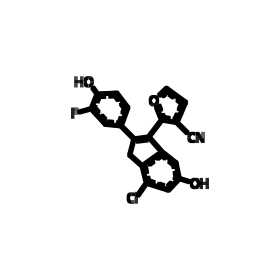 N#Cc1ccoc1C1=C(c2ccc(O)c(F)c2)Cc2c(Cl)cc(O)cc21